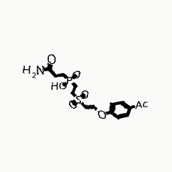 CC(=O)c1ccc(OCCS(=O)(=O)CCP(=O)(O)CCC(N)=O)cc1